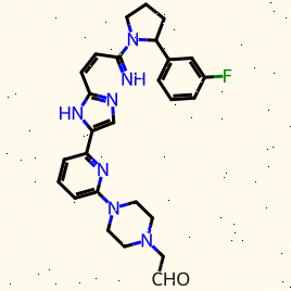 N=C(/C=C\c1ncc(-c2cccc(N3CCN(CC=O)CC3)n2)[nH]1)N1CCCC1c1cccc(F)c1